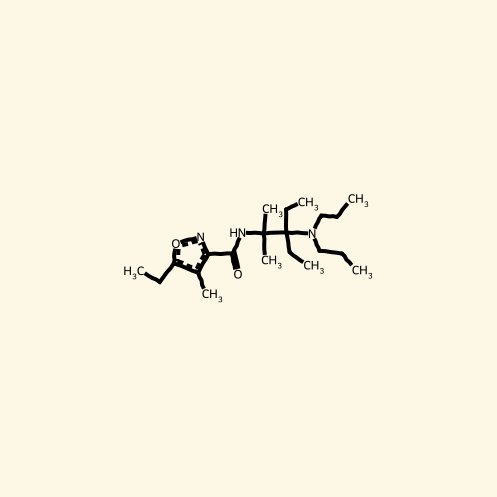 CCCN(CCC)C(CC)(CC)C(C)(C)NC(=O)c1noc(CC)c1C